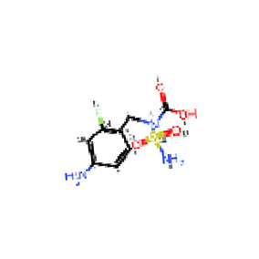 Nc1ccc(CN(C(=O)O)S(N)(=O)=O)c(F)c1